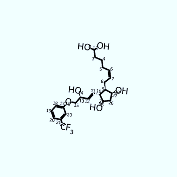 OC(O)CCC/C=C\C[C@@H]1[C@@H](/C=C/[C@@H](O)COc2cccc(C(F)(F)F)c2)[C@H](O)C[C@@H]1O